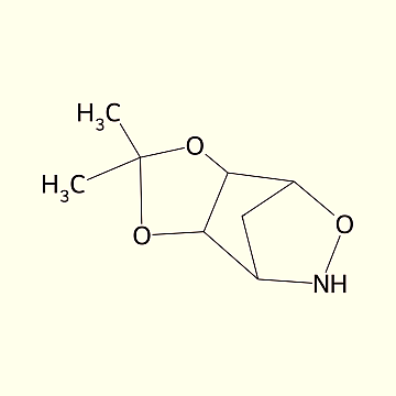 CC1(C)OC2C3CC(ON3)C2O1